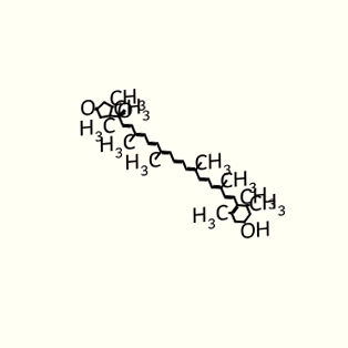 CC1=C(/C=C/C(C)=C/C=C/C(C)=C/C=C/C=C(C)/C=C/C=C(C)/C=C/C(=O)[C@]2(C)CC(=O)CC2(C)C)C(C)(C)C[C@H](O)C1